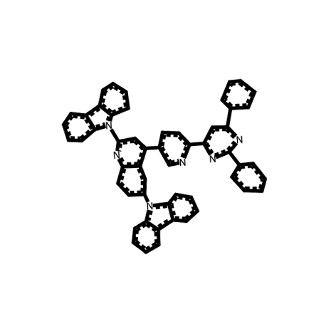 c1ccc(-c2cc(-c3ccc(-c4cc(-n5c6ccccc6c6ccccc65)nc5ccc(-n6c7ccccc7c7ccccc76)cc45)cn3)nc(-c3ccccc3)n2)cc1